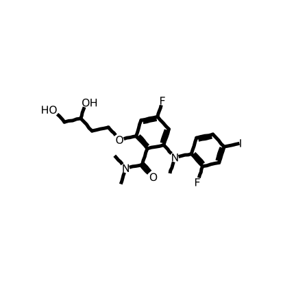 CN(C)C(=O)c1c(OCCC(O)CO)cc(F)cc1N(C)c1ccc(I)cc1F